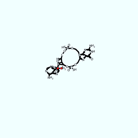 CC(C)(C)[Si](C)(C)OC1[C@H]2OP(=O)(S)OCc3nc4c(=O)[nH]c(N)nc4n3CCOP(=O)(S)OC[C@H]1O[C@H]2n1cnc2c(N)ncnc21